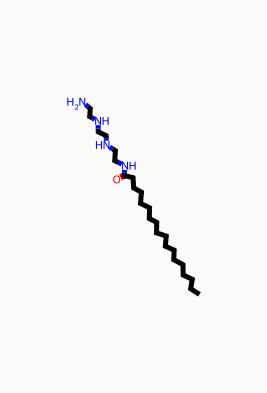 CCCCCCCCCCCCCCCCCC(=O)NCCNCCNCCN